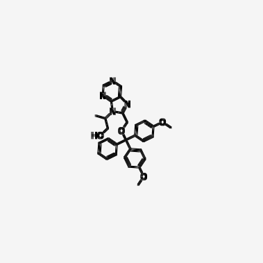 COc1ccc(C(OCc2nc3cncnc3n2C(C)CO)(c2ccccc2)c2ccc(OC)cc2)cc1